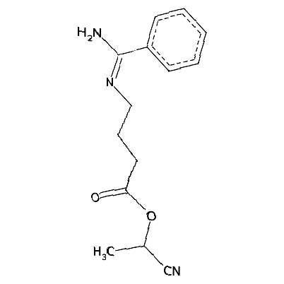 CC(C#N)OC(=O)CCC/N=C(/N)c1ccccc1